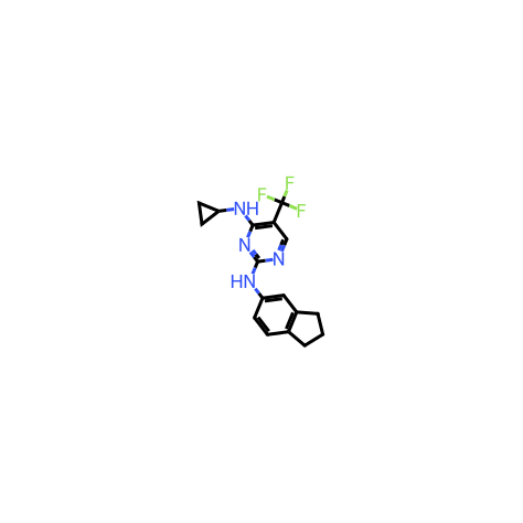 FC(F)(F)c1cnc(Nc2ccc3c(c2)CCC3)nc1NC1CC1